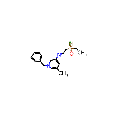 CC[SH](=O)(Br)CC=NC1=CC(C)=CN(Cc2ccccc2)C1